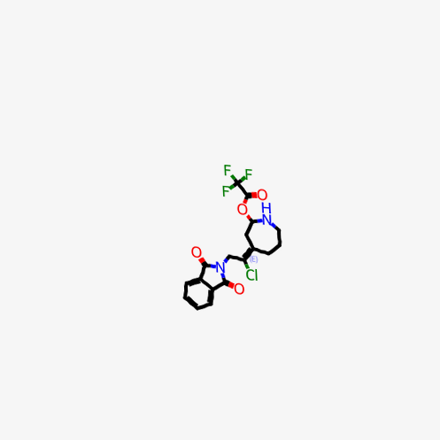 O=C1c2ccccc2C(=O)N1C/C(Cl)=C1/CCCNC(OC(=O)C(F)(F)F)C1